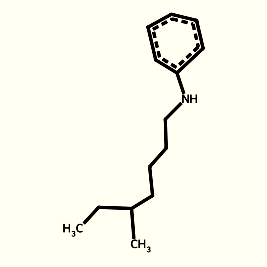 CCC(C)CCCCNc1ccccc1